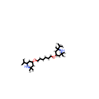 CC(C)C1CC(OCCCCCCOC2CC(C)(C)NC(C)(C(C)C)C2)CC(C)(C)N1